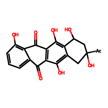 CC(=O)C1(O)Cc2c(O)c3c(c(O)c2C(O)C1)C(=O)c1c(O)cccc1C3=O